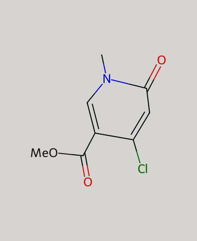 COC(=O)c1cn(C)c(=O)cc1Cl